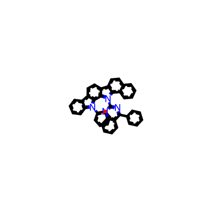 c1ccc(-c2nc(-n3c4c5ccccc5ccc4c4ccc5c6ccccc6n(-c6ccccc6)c5c43)nc3ccccc23)cc1